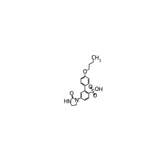 CCCCOc1ccc(-c2cc(N3CCNC3=O)ccc2S(=O)(=O)O)cc1